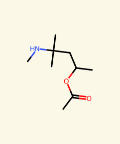 CNC(C)(C)CC(C)OC(C)=O